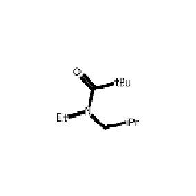 [CH2]CN(CC(C)C)C(=O)C(C)(C)C